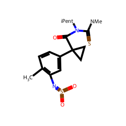 CCCC(C)N(C(=O)C1(c2ccc(C)c(N=S(=O)=O)c2)CC1)C(=S)NC